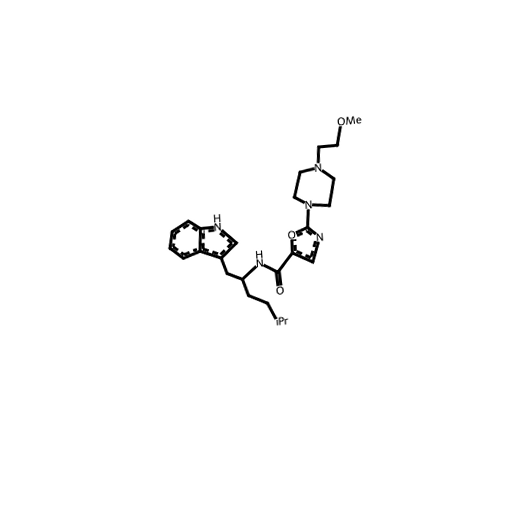 COCCN1CCN(c2ncc(C(=O)NC(CCC(C)C)Cc3c[nH]c4ccccc34)o2)CC1